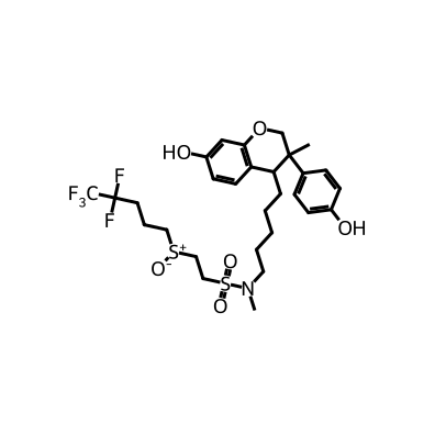 CN(CCCCCC1c2ccc(O)cc2OCC1(C)c1ccc(O)cc1)S(=O)(=O)CC[S+]([O-])CCCC(F)(F)C(F)(F)F